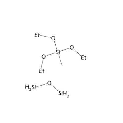 CCO[Si](C)(OCC)OCC.[SiH3]O[SiH3]